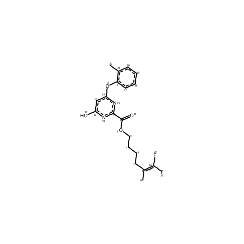 CC(CCCCOC(=O)c1nc(O)cc(Oc2ccccc2C)n1)=C(F)F